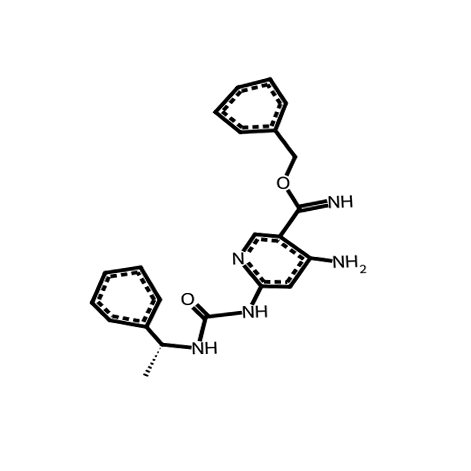 C[C@@H](NC(=O)Nc1cc(N)c(C(=N)OCc2ccccc2)cn1)c1ccccc1